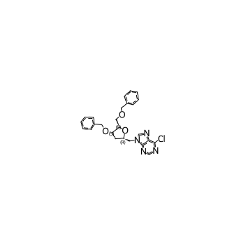 Clc1ncnc2c1ncn2C[C@H]1C[C@H](OCc2ccccc2)[C@@H](COCc2ccccc2)O1